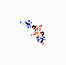 Nc1ncnc2c1ncn2[C@H]1C[C@H](OP(=O)(O)OC[C@@H]2CC[C@H](n3cnc4c(=O)[nH]c5nccn5c43)O2)[C@@H](COP(=O)(O)S)O1